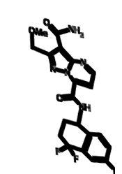 COCc1nn2c(C(=O)NC3CCC(F)(F)c4cc(F)ccc43)ccnc2c1C(N)=O